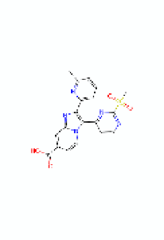 Cc1cccc(-c2nc3cc(C(=O)O)ccn3c2-c2ccnc(S(C)(=O)=O)n2)n1